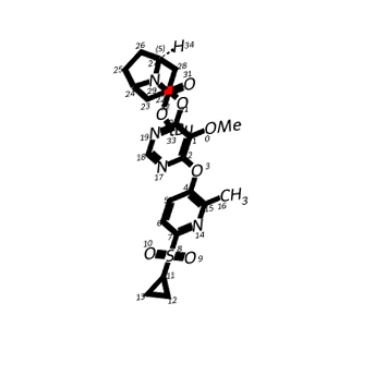 COc1c(Oc2ccc(S(=O)(=O)C3CC3)nc2C)ncnc1OC1CC2CC[C@@H](C1)N2C(=O)OC(C)(C)C